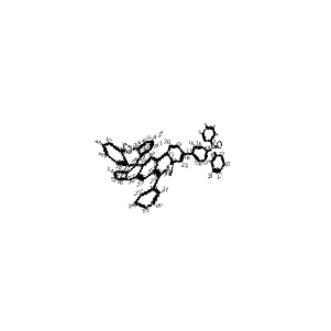 O=P(c1ccccc1)(c1ccccc1)c1ccc(-c2ccc3c(c2)nc(-c2ccccc2)c2cc4c(cc23)C2(c3ccccc3Oc3ccccc32)c2ccccc2-4)cc1